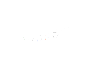 O=C(O)COc1cccc2c1CCCC2NS(=O)(=O)c1ccc(-c2ccc(Cl)cc2)nc1